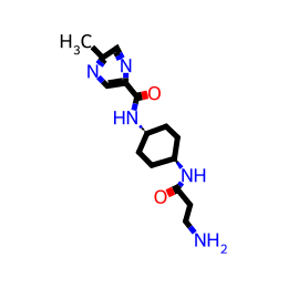 Cc1cnc(C(=O)N[C@H]2CC[C@H](NC(=O)CCN)CC2)cn1